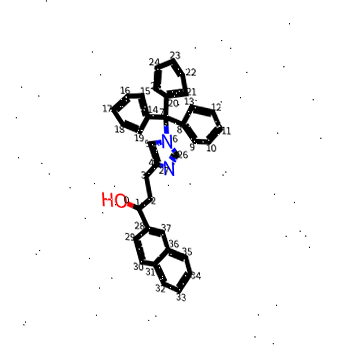 OC(CCc1cn(C(c2ccccc2)(c2ccccc2)c2ccccc2)cn1)c1ccc2ccccc2c1